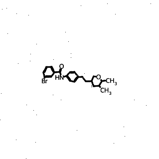 CC1[C]C(CCc2ccc(NC(=O)c3cccc(Br)c3)cc2)COC1C